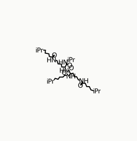 CC(C)CCCCC(=O)NCCCCC(NC(=O)CCCCC(C)C)C(=O)NC(CCCCNC(=O)CCCCC(C)C)C(=O)NC(C)C